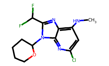 CNc1cc(Cl)nc2c1nc(C(F)F)n2C1CCCCO1